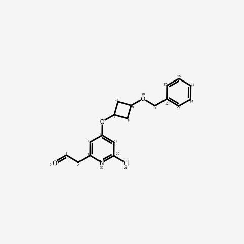 O=CCc1cc(OC2CC(OCc3ccccc3)C2)cc(Cl)n1